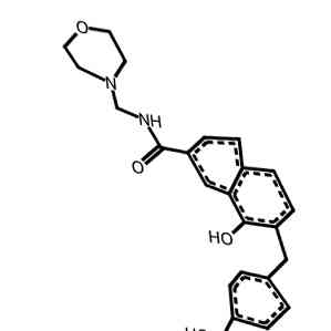 O=C(O)c1ccc(Cc2ccc3ccc(C(=O)NCN4CCOCC4)cc3c2O)cc1